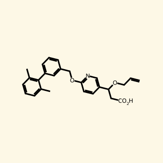 C=CCOC(CC(=O)O)c1ccc(OCc2cccc(-c3c(C)cccc3C)c2)nc1